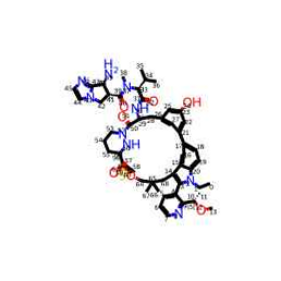 CCn1c(-c2cccnc2[C@H](C)OC)c2c3cc(ccc31)-c1cc(O)cc(c1)C[C@H](NC(=O)[C@H](C(C)C)N(C)C(=O)[C@H]1Cn3ccnc3[C@H]1N)C(=O)N1CCC[C@@](C3=CS3)(N1)C(=O)OCC(C)(C)C2